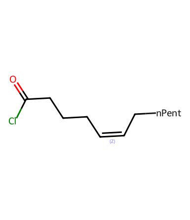 CCCCCC/C=C\CCCC(=O)Cl